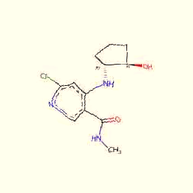 CNC(=O)c1cnc(Cl)cc1N[C@@H]1CCC[C@H]1O